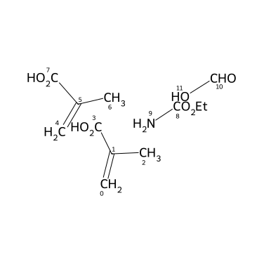 C=C(C)C(=O)O.C=C(C)C(=O)O.CCOC(N)=O.O=CO